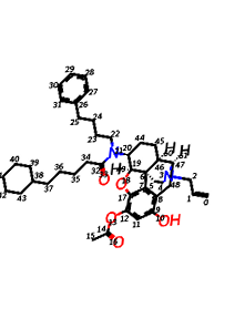 C=CCN1CC[C@]23c4c5c(O)cc(OC(C)=O)c4O[C@H]2[C@@H](N(CCCCc2ccccc2)C(=O)CCCCC2CCCCC2)CC[C@H]3[C@H]1C5